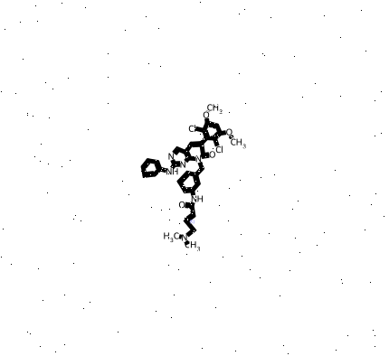 COc1cc(OC)c(Cl)c(-c2cc3cnc(Nc4ccccc4)nc3n(Cc3cccc(NC(=O)/C=C/CN(C)C)c3)c2=O)c1Cl